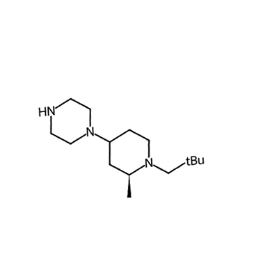 C[C@H]1CC(N2CCNCC2)CCN1CC(C)(C)C